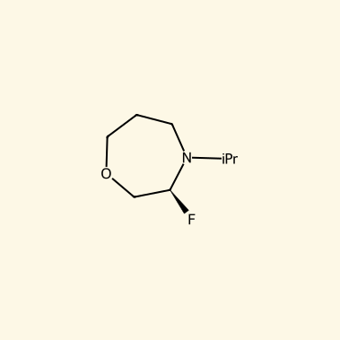 CC(C)N1CCCOC[C@@H]1F